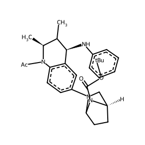 CC(=O)N1c2ccc(N3C[C@H]4CCC3N4C(=O)OC(C)(C)C)cc2[C@H](Nc2ccccc2)C(C)[C@@H]1C